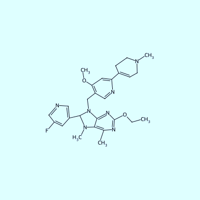 CCOc1nc(C)c2c(n1)N(Cc1cnc(C3=CCN(C)CC3)cc1OC)C(c1cncc(F)c1)N2C